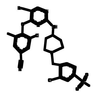 Cc1cc(C#N)cc(Cl)c1Oc1nc(NC2CCN(Cc3ccc(S(C)(=O)=O)cc3Cl)CC2)ncc1Br